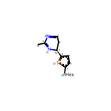 CCCCCCc1ccc([C@@H]2CC=NC(C)=N2)s1